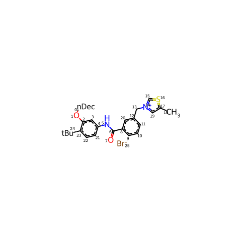 CCCCCCCCCCOc1cc(NC(=O)c2cccc(C[n+]3csc(C)c3)c2)ccc1C(C)(C)C.[Br-]